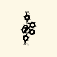 Nc1ccc(Oc2ccccc2C2(c3ccccc3Oc3ccc(N)cc3)C3CC4CC(C3)CC2C4)cc1